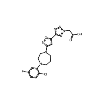 O=C(O)Cn1nnc(-c2cc(N3CCCN(c4cc(F)ccc4Cl)CC3)no2)n1